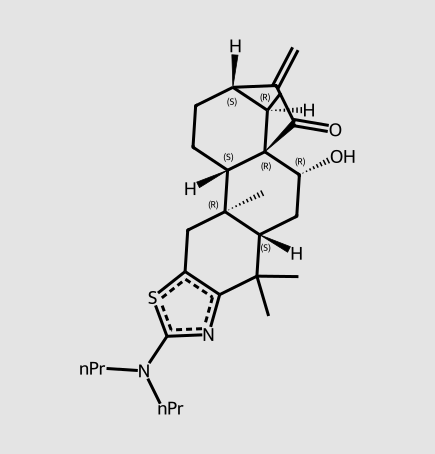 C=C1C(=O)[C@@]23[C@H](O)C[C@@H]4C(C)(C)c5nc(N(CCC)CCC)sc5C[C@@]4(C)[C@@H]2CC[C@H]1[C@H]3C